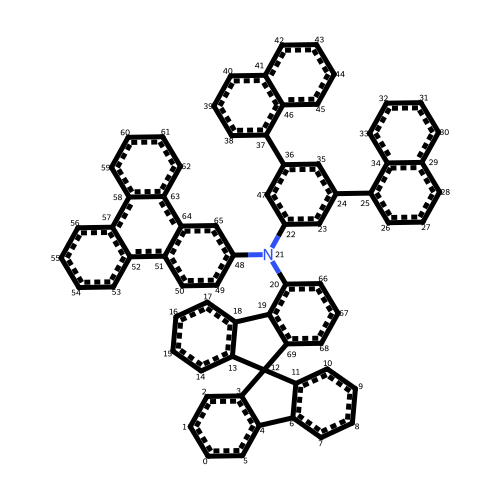 c1ccc2c(c1)-c1ccccc1C21c2ccccc2-c2c(N(c3cc(-c4cccc5ccccc45)cc(-c4cccc5ccccc45)c3)c3ccc4c5ccccc5c5ccccc5c4c3)cccc21